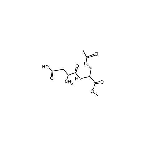 COC(=O)C(COC(C)=O)NC(=O)C(N)CC(=O)O